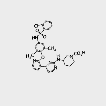 Cc1cc(NS(=O)(=O)c2ccccc2Cl)cc(C)c1Oc1ncccc1-c1ccnc(NC2CCCN(C(=O)O)C2)n1